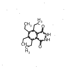 CCc1c(CC)c(CC)c2c(=O)[nH][nH]c(=O)c2c1CC